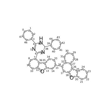 c1ccc(C2=NC(c3cccc4oc5cc(-c6cc7oc8ccccc8c7c7ccccc67)ccc5c34)=NC(c3ccccc3)N2)cc1